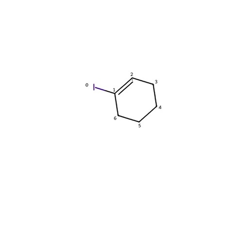 IC1=[C]CCCC1